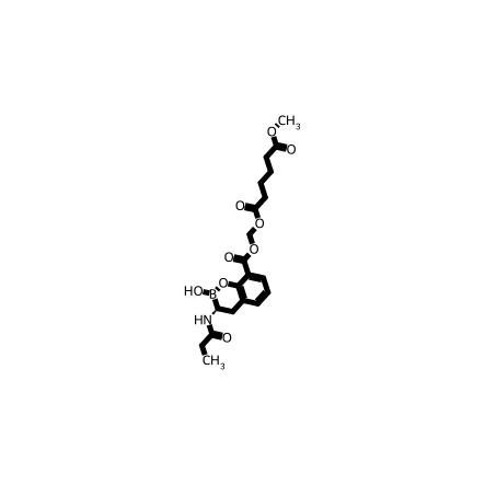 CCC(=O)N[C@H]1Cc2cccc(C(=O)OCOC(=O)CCCCC(=O)OC)c2OB1O